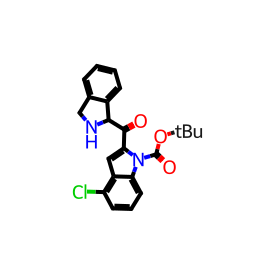 CC(C)(C)OC(=O)n1c(C(=O)C2NCc3ccccc32)cc2c(Cl)cccc21